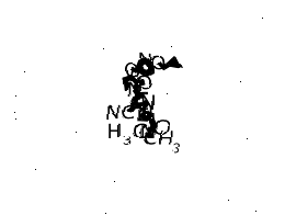 CN(C)C(=O)C1CN(c2ncc(N3CC[C@@H](Oc4ccc(OCC5CC5)nc4)C3=O)cc2C#N)C1